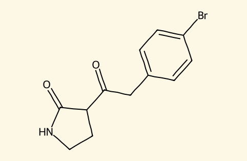 O=C(Cc1ccc(Br)cc1)C1CCNC1=O